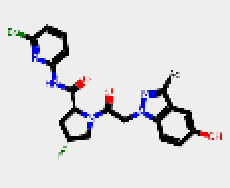 CC(=O)c1nn(CC(=O)N2C[C@H](F)C[C@H]2C(=O)Nc2cccc(Br)n2)c2ccc(O)cc12